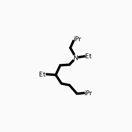 CCC(CCCC(C)C)CCN(CC)CC(C)C